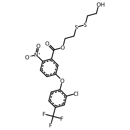 O=C(OCCSSCCO)c1cc(Oc2ccc(C(F)(F)F)cc2Cl)ccc1[N+](=O)[O-]